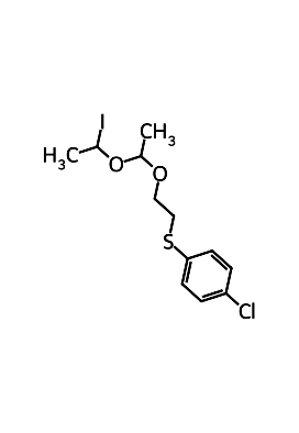 CC(I)OC(C)OCCSc1ccc(Cl)cc1